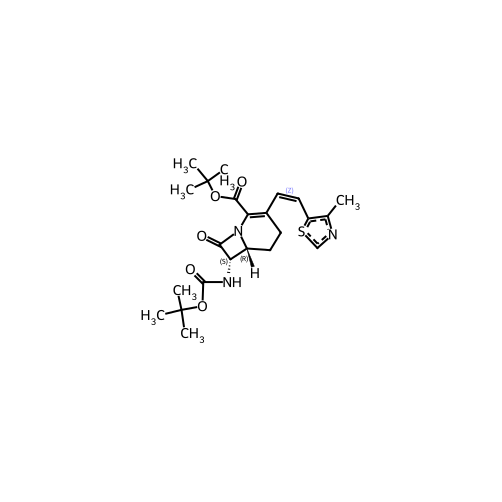 Cc1ncsc1/C=C\C1=C(C(=O)OC(C)(C)C)N2C(=O)[C@@H](NC(=O)OC(C)(C)C)[C@H]2CC1